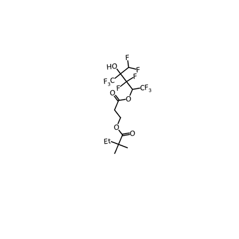 CCC(C)(C)C(=O)OCCC(=O)OC(C(F)(F)F)C(F)(F)C(O)(C(F)F)C(F)(F)F